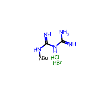 Br.CCCCNC(=N)NC(=N)N.Cl